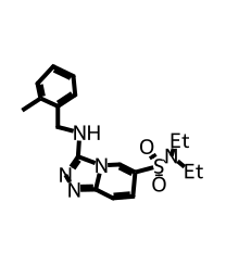 CCN(CC)S(=O)(=O)c1ccc2nnc(NCc3ccccc3C)n2c1